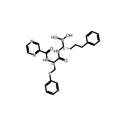 O=C(N[C@H](CSc1ccccc1)C(=O)N[C@@H](CCCc1ccccc1)B(O)O)c1cnccn1